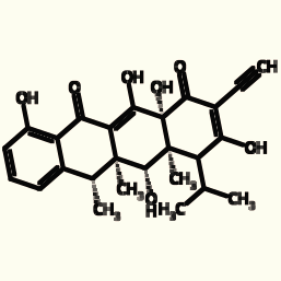 C#CC1=C(O)C(C(C)C)[C@@]2(C)[C@H](O)[C@]3(C)C(=C(O)[C@@]2(O)C1=O)C(=O)c1c(O)cccc1[C@H]3C